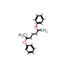 [CH2]C(CCCC(C)Oc1ccccc1)Oc1ccccc1